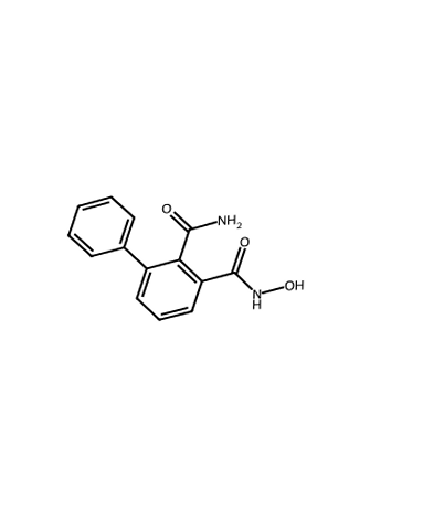 NC(=O)c1c(C(=O)NO)cccc1-c1ccccc1